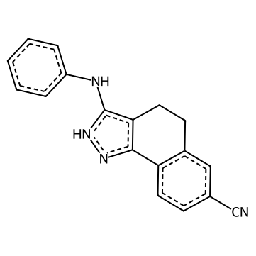 N#Cc1ccc2c(c1)CCc1c-2n[nH]c1Nc1ccccc1